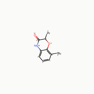 CC(C)C1Oc2c(cccc2C(C)(C)C)NC1=O